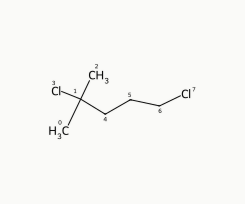 CC(C)(Cl)CCCCl